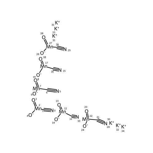 N#[C][Mn](=[O])[O-].N#[C][Mn](=[O])[O-].N#[C][Mn](=[O])[O-].N#[C][Mn](=[O])[O-].N#[C][Mn](=[O])[O-].N#[C][Mn](=[O])[O-].[K+].[K+].[K+].[K+].[K+].[K+]